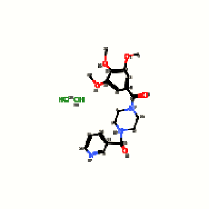 COc1cc(C(=O)N2CCN(C(=O)c3cccnc3)CC2)cc(OC)c1OC.Cl.Cl